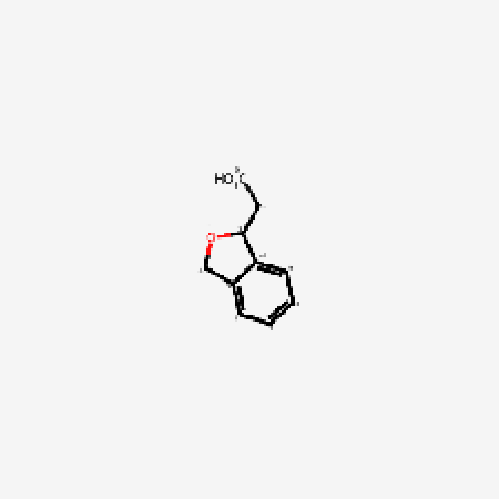 O=C(O)CC1OCc2ccccc21